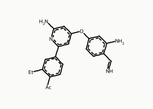 CCc1cc(-c2cc(Oc3ccc(C=N)c(N)c3)cc(N)n2)ccc1C(C)=O